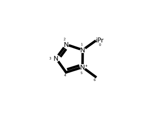 CC(C)n1nnc[n+]1C